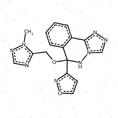 Cn1ncnc1COC1(c2ccon2)Nn2cnnc2-c2ccccc21